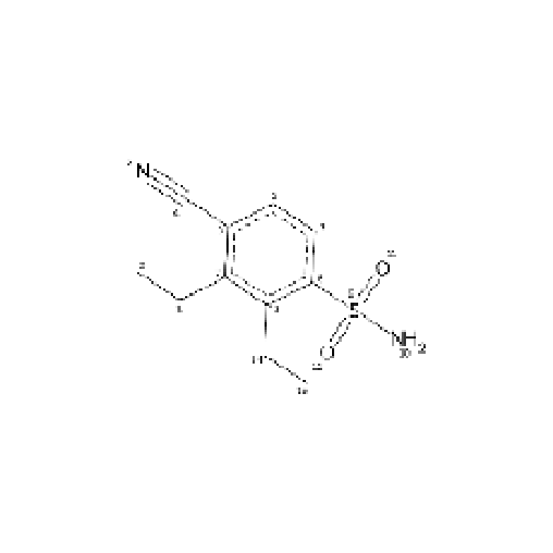 CCc1c(C#N)ccc(S(N)(=O)=O)c1CC